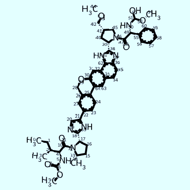 CC[C@H](C)[C@H](NC(=O)OC)C(=O)N1[C@@H](C)CC[C@H]1c1ncc(-c2ccc3c(c2)COc2cc4c(ccc5nc([C@@H]6C[C@H](COC)CN6C(=O)[C@H](NC(O)OC)c6ccccc6)[nH]c54)cc2-3)[nH]1